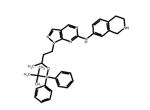 CC(CCn1ncc2cnc(Nc3ccc4c(c3)CNCC4)nc21)O[Si](c1ccccc1)(c1ccccc1)C(C)(C)C